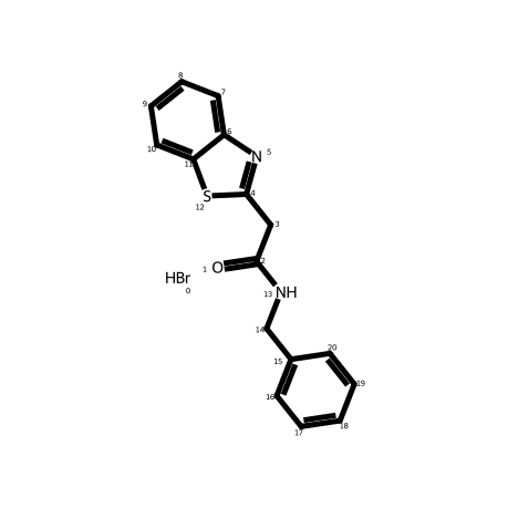 Br.O=C(Cc1nc2ccccc2s1)NCc1ccccc1